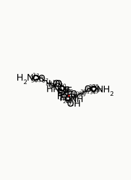 Nc1ccc(OCCCCCC(=O)Nc2cc(C(c3ccc(O)c(NC(=O)CCCCCOc4ccc(N)cc4)c3)(C(F)(F)F)C(F)(F)F)ccc2O)cc1